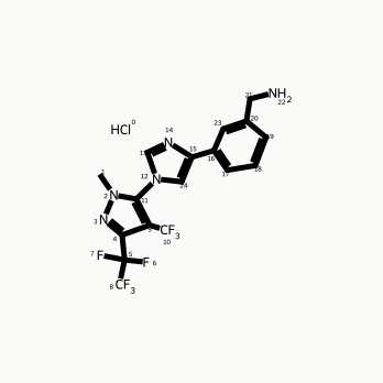 Cl.Cn1nc(C(F)(F)C(F)(F)F)c(C(F)(F)F)c1-n1cnc(-c2cccc(CN)c2)c1